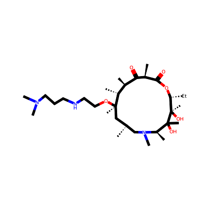 CC[C@H]1OC(=O)[C@H](C)C(=O)[C@H](C)[C@@H](C)[C@](C)(OCCNCCCN(C)C)C[C@@H](C)CN(C)[C@H](C)C(C)(O)[C@]1(C)O